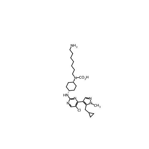 Cn1ncc(-c2nc(N[C@H]3CC[C@H](N(CCCCCCCN)C(=O)O)CC3)ncc2Cl)c1CC1CC1